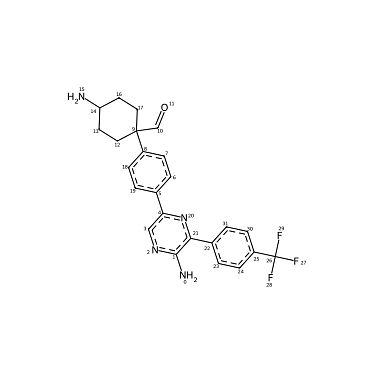 Nc1ncc(-c2ccc(C3(C=O)CCC(N)CC3)cc2)nc1-c1ccc(C(F)(F)F)cc1